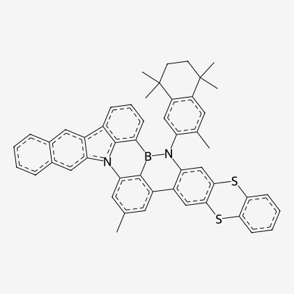 Cc1cc2c3c(c1)-n1c4cc5ccccc5cc4c4cccc(c41)B3N(c1cc3c(cc1C)C(C)(C)CCC3(C)C)c1cc3c(cc1-2)Sc1ccccc1S3